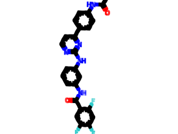 CC(=O)Nc1ccc(-c2ccnc(Nc3cccc(NC(=O)c4cc(F)c(F)cc4F)c3)n2)cc1